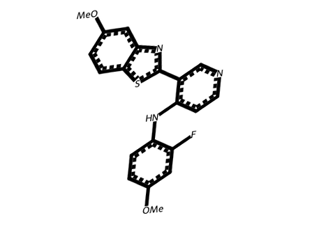 COc1ccc(Nc2ccncc2-c2nc3cc(OC)ccc3s2)c(F)c1